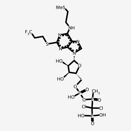 CSCCNc1nc(SCCC(F)(F)F)nc2c1ncn2[C@@H]1O[C@H](COP(=O)(O)OP(C)(=O)C(Cl)(Cl)P(=O)(O)O)[C@@H](O)[C@H]1O